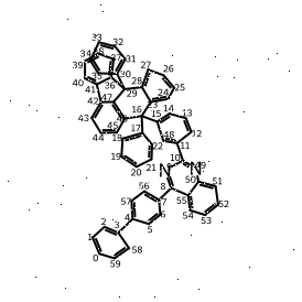 c1ccc(-c2ccc(-c3nc(-c4cccc(C5(c6ccccc6)c6ccccc6C6(c7ccccc7)c7ccccc7-c7cccc5c76)c4)nc4ccccc34)cc2)cc1